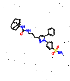 NS(=O)(=O)c1ccc(-n2nc(CCCNC(=O)NC34CC5CC(CC(C5)C3)C4)cc2-c2ccccc2)cc1